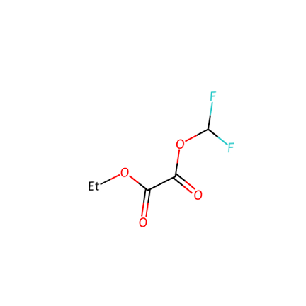 CCOC(=O)C(=O)OC(F)F